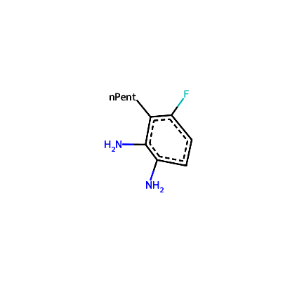 CCCCCc1c(F)ccc(N)c1N